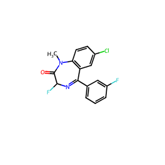 CN1C(=O)C(F)N=C(c2cccc(F)c2)c2cc(Cl)ccc21